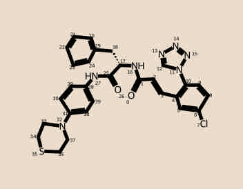 O=C(/C=C/c1cc(Cl)ccc1-n1cnnn1)N[C@@H](Cc1ccccc1)C(=O)Nc1ccc(N2CCSCC2)cc1